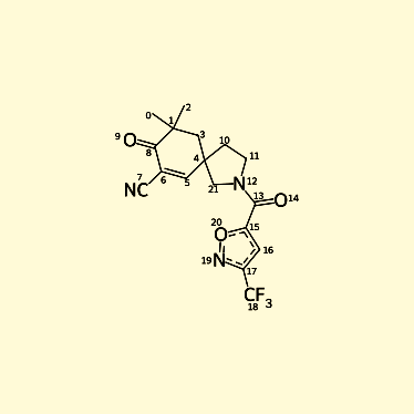 CC1(C)CC2(C=C(C#N)C1=O)CCN(C(=O)c1cc(C(F)(F)F)no1)C2